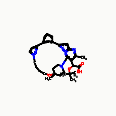 Cc1nc2cc3nn2c(c1[C@H](OC(C)(C)C)C(=O)O)N1CCC(C)(CC1)OCCCCn1ccc(n1)-c1cccc-3c1